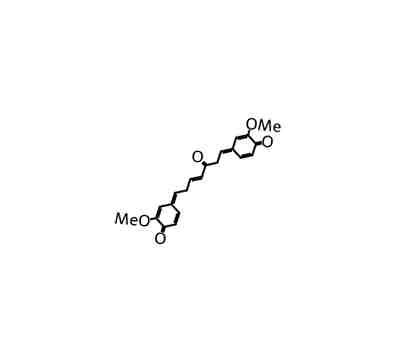 COC1=CC(=CCC=CC(=O)CC=C2C=CC(=O)C(OC)=C2)C=CC1=O